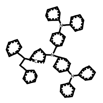 c1ccc(CC(c2ccccc2)c2ccc(N(c3ccc(N(c4ccccc4)c4ccccc4)cc3)c3ccc(N(c4ccccc4)c4ccccc4)cc3)cc2)cc1